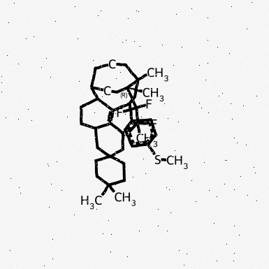 CSc1ccc(C2CC3(C)CCCC(CC[C@@]3(C)C(F)(F)C(C)(F)F)C3CCC4CC5(CCC4=C23)CCC(C)(C)CC5)cc1